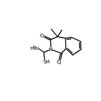 CCCCC(S)N1C(=O)c2ccccc2C(C)(C)C1=O